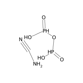 N#CN.O=[PH](O)O[PH](=O)O